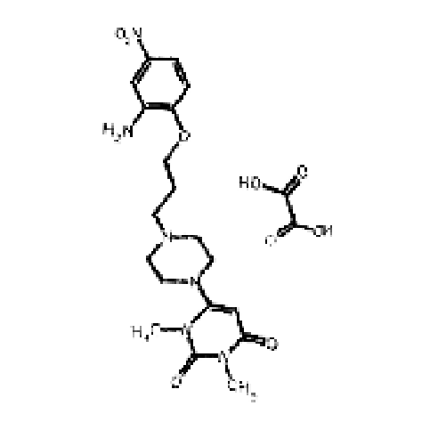 Cn1c(N2CCN(CCCOc3ccc([N+](=O)[O-])cc3N)CC2)cc(=O)n(C)c1=O.O=C(O)C(=O)O